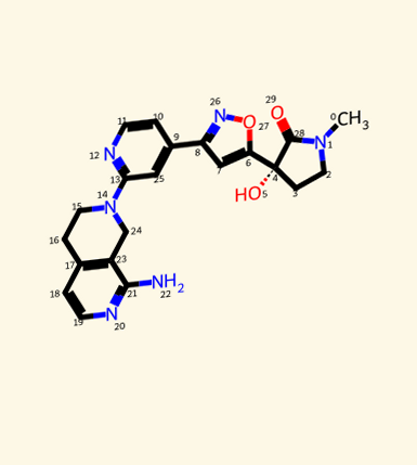 CN1CC[C@@](O)(c2cc(-c3ccnc(N4CCc5ccnc(N)c5C4)c3)no2)C1=O